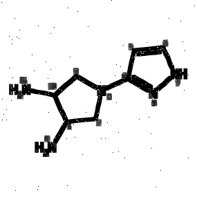 NC1CN(c2cc[nH]n2)CC1N